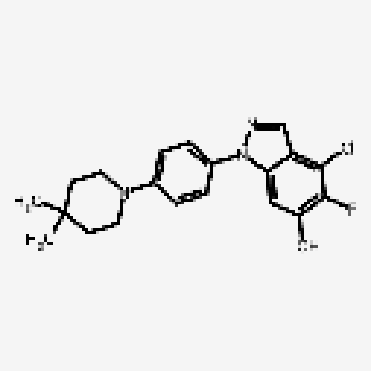 CC1(C)CCN(c2ccc(-n3ncc4c(Cl)c(F)c(O)cc43)cc2)CC1